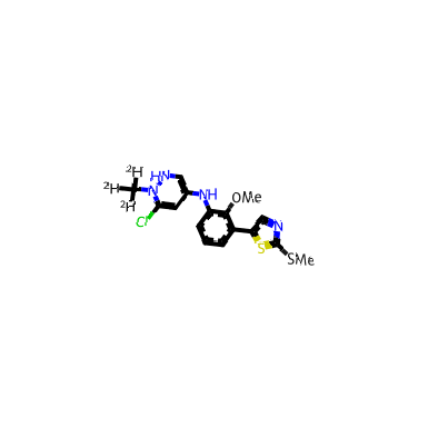 [2H]C([2H])([2H])N1NC=C(Nc2cccc(-c3cnc(SC)s3)c2OC)C=C1Cl